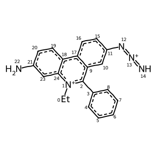 CC[n+]1c(-c2ccccc2)c2cc(N=[N+]=N)ccc2c2ccc(N)cc21